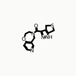 O=C(c1n[nH]c2c1CSC2)N1CCOc2ccncc2C1